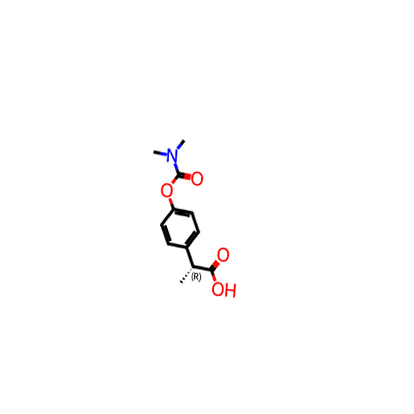 C[C@@H](C(=O)O)c1ccc(OC(=O)N(C)C)cc1